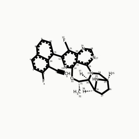 C#Cc1c(F)ccc2cccc(-c3nc4c5c(ncnc5c3F)N3C[C@H]5CC[C@H](N5)[C@H]3[C@H](C)O4)c12